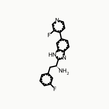 N[C@H](Cc1cccc(F)c1)c1nc2ccc(-c3ccncc3F)cc2[nH]1